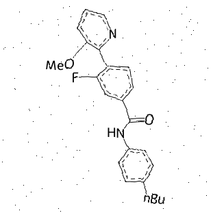 CCCCc1ccc(NC(=O)c2ccc(-c3ncccc3OC)c(F)c2)cc1